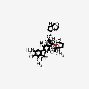 Cc1c(Cl)c(N)cc(-c2nc3c4c(nc(OC[C@@H]5CC[C@H]6COCCN65)nc4c2F)N2C[C@H]4CC[C@@H]([C@H]2[C@H](C)O3)N4C(=O)OC(C)(C)C)c1C(F)(F)F